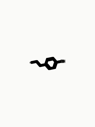 [CH2]C[CH]c1ccc(O)cc1